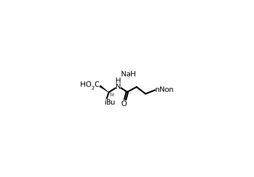 CCCCCCCCCCCC(=O)N[C@H](C(=O)O)C(C)CC.[NaH]